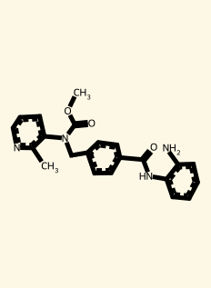 COC(=O)N(Cc1ccc(C(=O)Nc2ccccc2N)cc1)c1cccnc1C